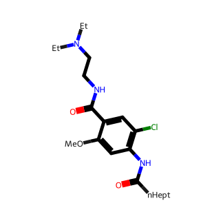 CCCCCCCC(=O)Nc1cc(OC)c(C(=O)NCCN(CC)CC)cc1Cl